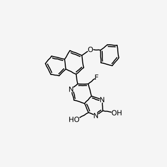 Oc1nc(O)c2cnc(-c3cc(Oc4ccccc4)cc4ccccc34)c(F)c2n1